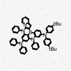 CC(C)(C)c1ccc(N(c2ccc(C(C)(C)C)cc2)c2ccc3c(c2)N(c2ccccc2)c2cc(N(c4ccccc4)c4ccccc4)cc4c2B3c2cc3ccccn3c2N4c2ccccc2)cc1